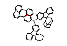 c1ccc(-c2cccc3cccc(-c4ccc(N(c5ccc6c(c5)-c5ccccc5C65CCCCC5)c5ccc6c(c5)C5(c7ccccc7-6)C6CC7CC(C6)CC5C7)cc4)c23)cc1